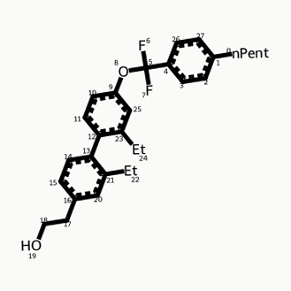 CCCCCc1ccc(C(F)(F)Oc2ccc(-c3ccc(CCO)cc3CC)c(CC)c2)cc1